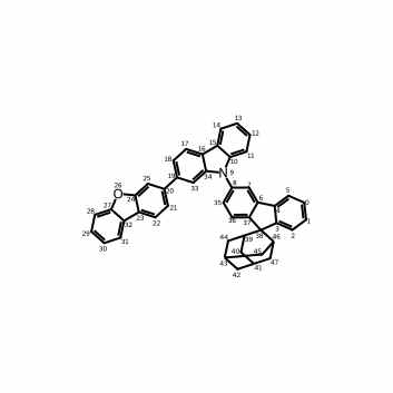 c1ccc2c(c1)-c1cc(-n3c4ccccc4c4ccc(-c5ccc6c(c5)oc5ccccc56)cc43)ccc1C21C2CC3CC(C2)CC1C3